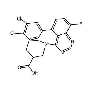 O=C(O)C1CCCN(c2ncnc3c(F)ccc(-c4ccc(Cl)c(Cl)c4)c23)C1